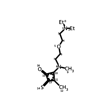 CCN(CC)CCOCCN(C)c1c(C)c(=S)c1=O